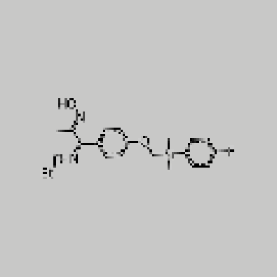 CCON=C(C(C)=NO)c1ccc(OC[Si](C)(C)c2ccc(F)cc2)cc1